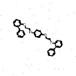 c1ccc(-c2ccccc2OCCOc2ccc(OCCOc3ccccc3-c3ccccc3)cc2)cc1